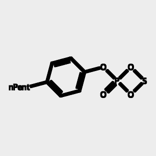 CCCCCc1ccc(OP2(=O)OSO2)cc1